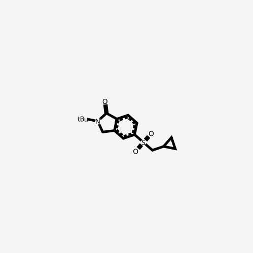 CC(C)(C)N1Cc2cc(S(=O)(=O)CC3CC3)ccc2C1=O